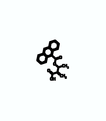 C=C(C(=O)O)C(C)OC(=O)c1c2ccccc2cc2ccccc12